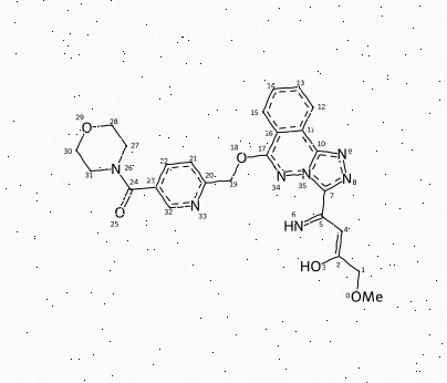 COC/C(O)=C/C(=N)c1nnc2c3ccccc3c(OCc3ccc(C(=O)N4CCOCC4)cn3)nn12